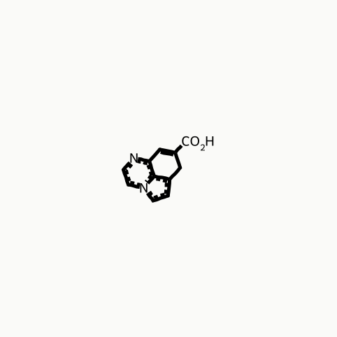 O=C(O)C1=Cc2nccn3ccc(c23)C1